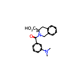 CN(C)c1cccc(C(=O)N2Cc3ccccc3C[C@@H]2C(=O)O)c1